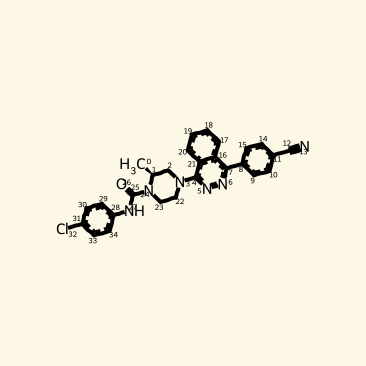 C[C@H]1CN(c2nnc(-c3ccc(C#N)cc3)c3ccccc23)CCN1C(=O)Nc1ccc(Cl)cc1